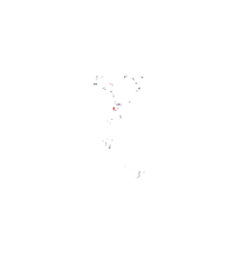 CC[C@H]1OC(=O)[C@H](C)[C@@H](O[C@H]2C[C@@](C)(OC)[C@@H](O)[C@H](C)O2)[C@H](C)[C@@H](O[C@H]2C[C@@H](N(C)CCc3cn(CCCOc4ccc([N+](=O)[O-])cc4)nn3)C[C@@H](C)O2)[C@](C)(O)C[C@@H](C)CN(C)[C@H](C)[C@@H](O)[C@]1(C)O